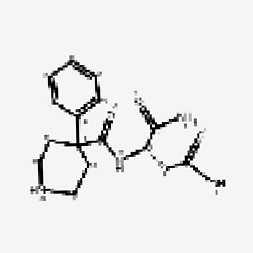 NC(=O)[C@H](CC(=O)O)NC(=O)C1(c2ccccc2)CCNCC1